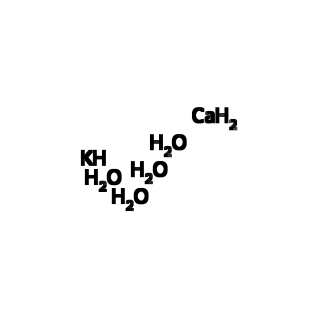 O.O.O.O.[CaH2].[KH]